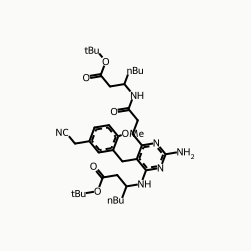 CCCCC(CC(=O)OC(C)(C)C)NC(=O)CCc1nc(N)nc(NC(CCCC)CC(=O)OC(C)(C)C)c1Cc1cc(CC#N)ccc1OC